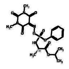 CC(C)OC(=O)[C@H](C)NP(=O)(ON=C1C(=O)N(C)C(=O)N(C)C1=O)Oc1ccccc1